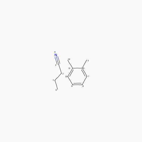 CCCC#N.Cc1ccccc1C